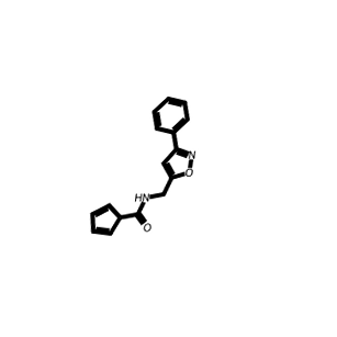 O=C(NCc1cc(-c2ccccc2)no1)C1C=CC=C1